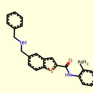 O=C(Nc1ccccc1[AsH2])c1cc2cc(CNCc3ccccc3)ccc2s1